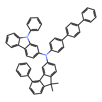 CC1(C)c2ccc(N(c3ccc(-c4ccc(-c5ccccc5)cc4)cc3)c3ccc4c5ccccc5n(-c5ccccc5)c4c3)cc2-c2c(-c3ccccc3)cccc21